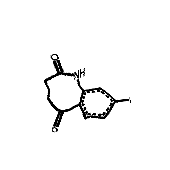 O=C1CCC(=O)c2ccc(I)cc2N1